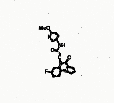 COc1ccc(NC(=O)CCn2c(=O)c3cccn3c3ccc(F)cc32)cn1